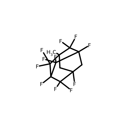 CC12CC3(F)CC(F)(C1(F)F)C(F)(F)C(F)(C3(F)F)C2(F)F